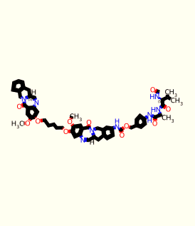 COc1cc2c(cc1OCCCCCOc1cc3c(cc1OC)C(=O)N1Cc4cc(NC(=O)OCc5ccc(NC(=O)[C@H](C)NC(=O)[C@@H](NC=O)C(C)C)cc5)ccc4C[C@H]1C=N3)N=C[C@@H]1Cc3ccccc3CN1C2=O